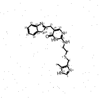 Cc1[nH]cnc1CSCCNc1ncc(Cc2nc3ccccc3s2)c(=O)[nH]1